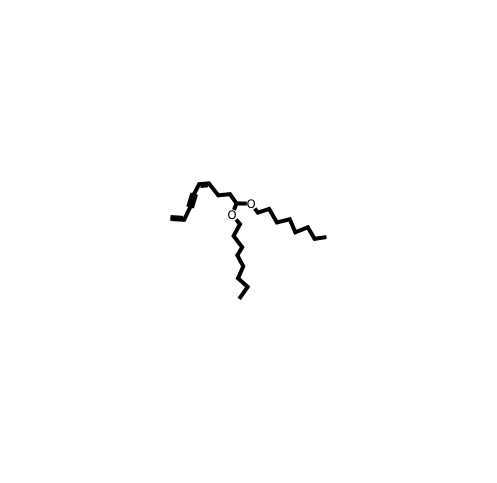 C=CC#C/C=C\CCC(OCCCCCCCC)OCCCCCCCC